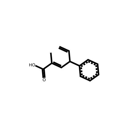 C=CC(C=C(C)C(=O)O)c1ccccc1